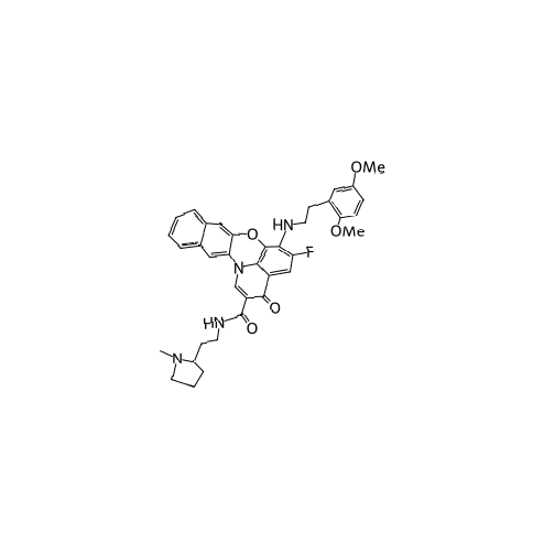 COc1ccc(OC)c(CCNc2c(F)cc3c(=O)c(C(=O)NCCC4CCCN4C)cn4c3c2Oc2cc3ccccc3cc2-4)c1